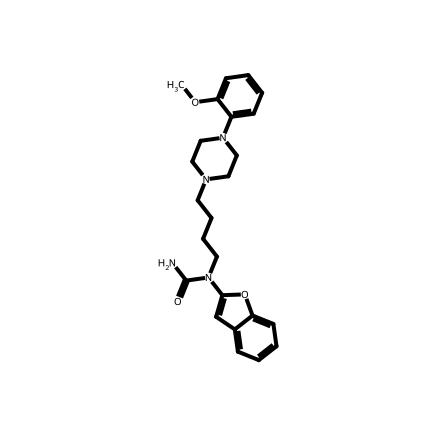 COc1ccccc1N1CCN(CCCCN(C(N)=O)c2cc3ccccc3o2)CC1